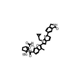 Cc1c(-c2cc3ccc(-c4ccc5c(c4)C(=O)NC5)nc3n2CC2CC2)oc2cc(C(=O)N3CC4CCC3(C(C)(C)C)[C@@H]4OC(N)=O)ccc12